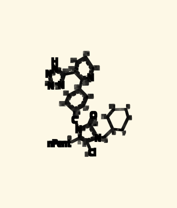 CCCCCc1c(Cl)n(CC2CCCCC2)c(=O)n1Cc1ccc(-c2ncccc2-c2nnn[nH]2)cc1